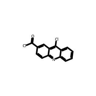 O=C(Cl)c1ccc2nc3ccccc3c(Cl)c2c1